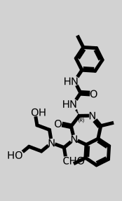 CC1=N[C@@H](NC(=O)Nc2cccc(C)c2)C(=O)N(C(C=O)N(CCO)CCO)c2c(C)cccc21